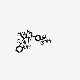 CC(C)S(=O)(=O)c1ccc(-c2cnc3[nH]cc(NC(=O)c4ccccc4O)c3n2)cc1